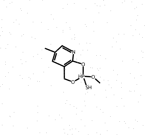 CO[PH]1(S)OCc2cc(C)cnc2O1